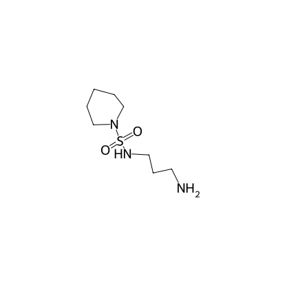 NCCCNS(=O)(=O)N1CCCCC1